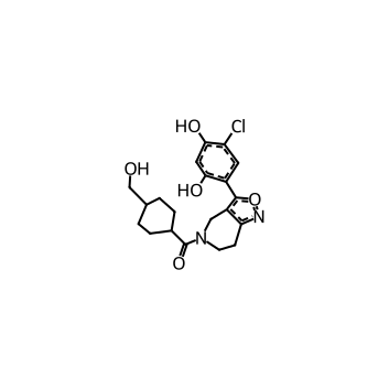 O=C(C1CCC(CO)CC1)N1CCc2noc(-c3cc(Cl)c(O)cc3O)c2C1